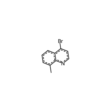 Cc1cccc2c(Br)ccnc12